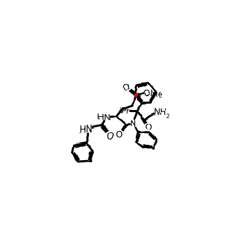 COC(=O)CCC(NC(=O)Nc1ccccc1)C(=O)N(c1ccccc1)C(C(N)=O)(c1ccccc1)C(C)C